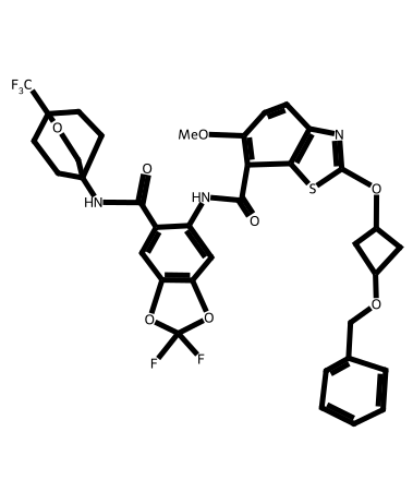 COc1ccc2nc(OC3CC(OCc4ccccc4)C3)sc2c1C(=O)Nc1cc2c(cc1C(=O)NC13CCC(C(F)(F)F)(CC1)OC3)OC(F)(F)O2